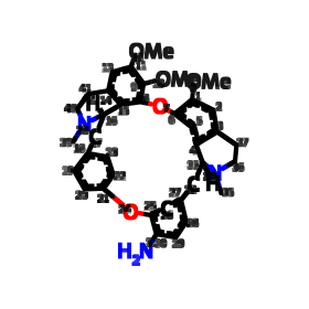 COc1cc2c3cc1Oc1c(OC)c(OC)cc4c1[C@H](Cc1ccc(cc1)Oc1cc(ccc1N)C[C@H]3N(C)CC2)N(C)CC4